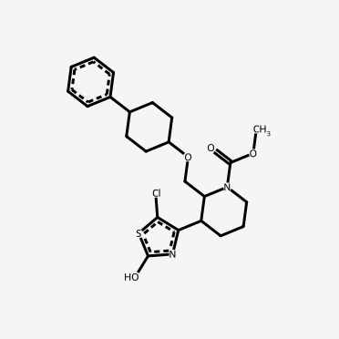 COC(=O)N1CCCC(c2nc(O)sc2Cl)C1COC1CCC(c2ccccc2)CC1